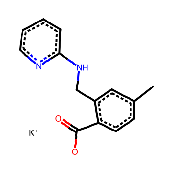 Cc1ccc(C(=O)[O-])c(CNc2ccccn2)c1.[K+]